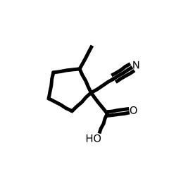 CC1CCCC1(C#N)C(=O)O